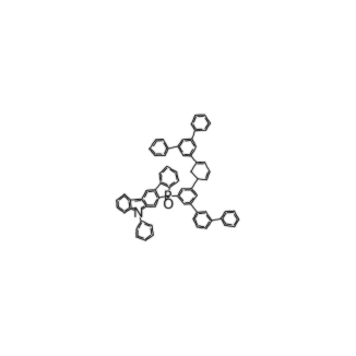 O=P1(c2cc(-c3cccc(-c4ccccc4)c3)cc(C3C=CC=C(c4cc(-c5ccccc5)cc(-c5ccccc5)c4)C3)c2)c2ccccc2-c2cc3c4ccccc4n(-c4ccccc4)c3cc21